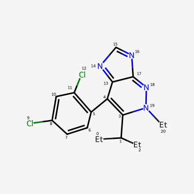 CCC(CC)c1c(-c2ccc(Cl)cc2Cl)c2ncnc-2nn1CC